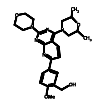 COc1ccc(-c2ccc3c(N4CC(C)OC(C)C4)nc(N4CCOCC4)nc3n2)cc1CO